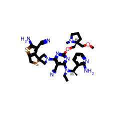 CCN(c1nc(OC[C@]2(COC)CCCN2C)nc(N2CC3(C2)SCc2sc(N)c(C#N)c23)c1C#N)[C@H](C)c1cccnc1N